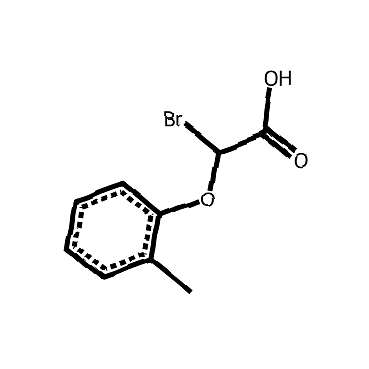 Cc1ccccc1OC(Br)C(=O)O